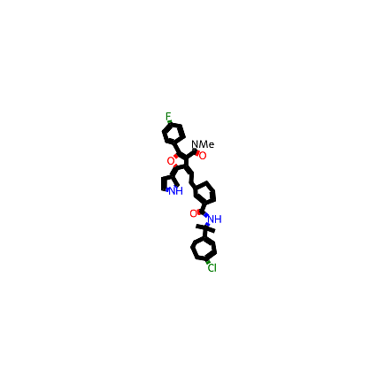 CNC(=O)c1c(-c2ccc(F)cc2)oc(=C2\C=CNC2)/c1=C\CC1C=C(C(=O)NC(C)(C)C2=CC=C(Cl)CCC2)C=CC1